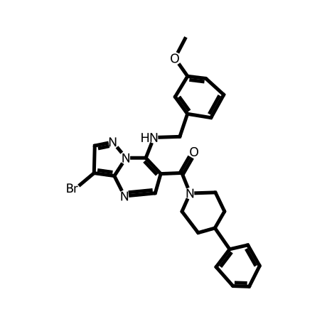 COc1cccc(CNc2c(C(=O)N3CCC(c4ccccc4)CC3)cnc3c(Br)cnn23)c1